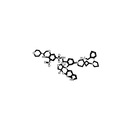 CCc1ccccc1[C@@H]1CCCN1C1CC2(CCN(c3ccc(C(=O)NS(=O)(=O)c4cc5c(c([N+](=O)[O-])c4)N[C@@H](C4CCOCC4)CO5)c(N4c5cc6cc[nH]c6nc5O[C@@H]5COC[C@@H]54)c3)CC2)C1